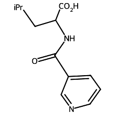 CC(C)CC(NC(=O)c1cccnc1)C(=O)O